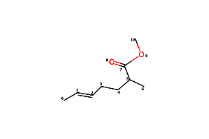 CC=CCCC(C)C(=O)OC